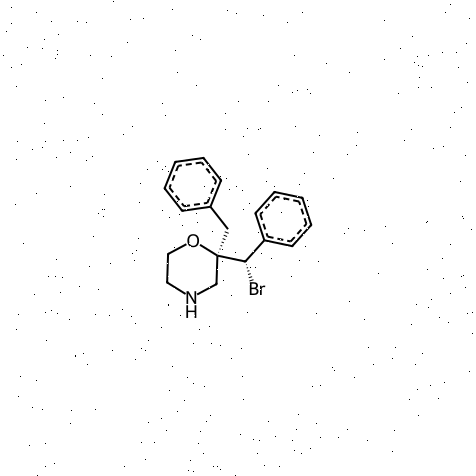 Br[C@@H](c1ccccc1)[C@@]1(Cc2ccccc2)CNCCO1